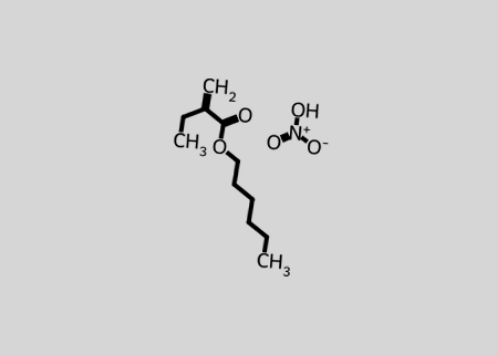 C=C(CC)C(=O)OCCCCCC.O=[N+]([O-])O